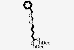 CCCCCCCCCCOC(CCC=COCOCc1ccccc1)OCCCCCCCCCC